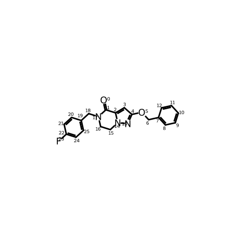 O=C1c2cc(OCc3ccccc3)nn2CCN1Cc1ccc(F)cc1